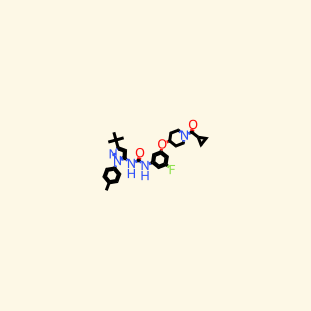 Cc1ccc(-n2nc(C(C)(C)C)cc2NC(=O)Nc2cc(F)cc(OC3CCN(C(=O)C4CC4)CC3)c2)cc1